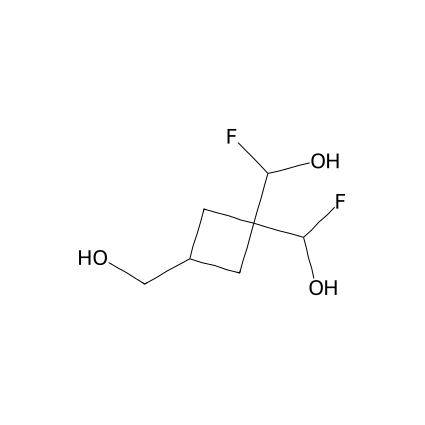 OCC1CC(C(O)F)(C(O)F)C1